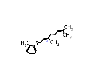 CC(C)=CCC/C(C)=C/CSc1ccccc1C